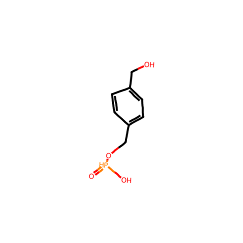 O=[PH](O)OCc1ccc(CO)cc1